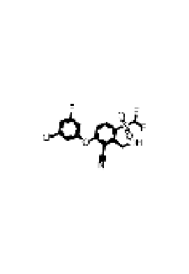 N#Cc1c(Oc2cc(F)cc(Cl)c2)ccc(S(=O)(=O)C(F)F)c1CO